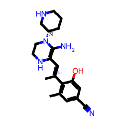 C/C(=C\C1=C(N)N([C@H]2CCCNC2)CCN1)c1c(C)cc(C#N)cc1O